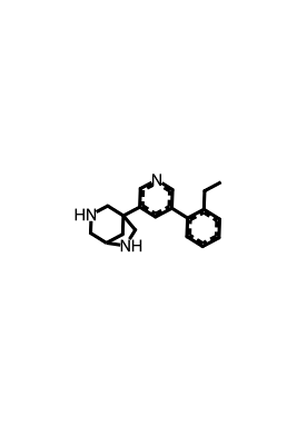 CCc1ccccc1-c1cncc(C23CNCC(C2)NC3)c1